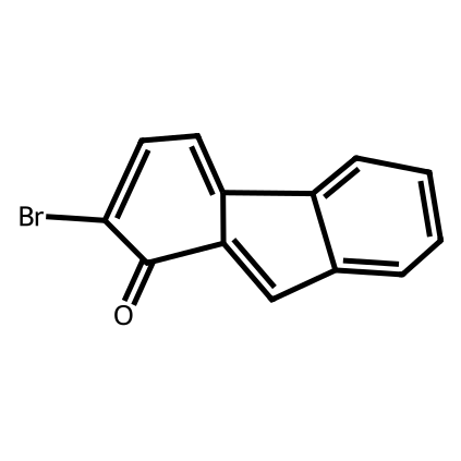 O=C1C(Br)=CC=C2C1=Cc1ccccc12